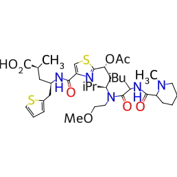 CCC(C)C(NC(=O)C1CCCCN1C)C(=O)N(CCOC)[C@H](C[C@@H](OC(C)=O)c1nc(C(=O)N[C@@H](Cc2cccs2)C[C@H](C)C(=O)O)cs1)C(C)C